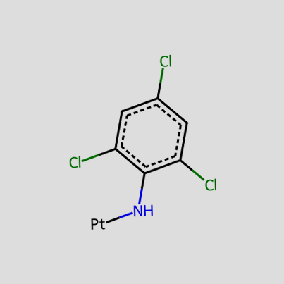 Clc1cc(Cl)c([NH][Pt])c(Cl)c1